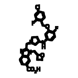 O=C(O)c1ccc2nc(CN3CCC(Nc4ccc(F)c(OCc5ccc(Cl)cc5F)c4)C3)n(CC3CCO3)c2c1